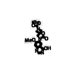 COc1cc2ncnc(O)c2cc1N1CC2(CN(C(=O)OC(C)(C)C)C2)OC1=O